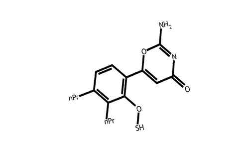 CCCc1ccc(-c2cc(=O)nc(N)o2)c(OS)c1CCC